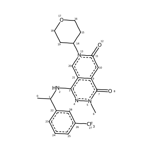 CC(Nc1nn(C)c(=O)c2cc(=O)n(C3CCOCC3)cc12)c1cccc(C(F)(F)F)c1